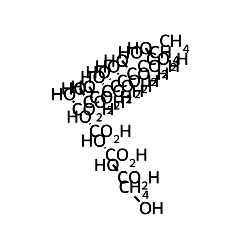 C.C.C.CO.O=C(O)O.O=C(O)O.O=C(O)O.O=C(O)O.O=C(O)O.O=C(O)O.O=C(O)O.O=C(O)O.O=C(O)O.O=C(O)O.O=C(O)O.O=C(O)O